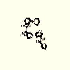 O=C(Nc1cncc(-c2cc3c(-c4nc5c(N6CCCCC6)cccc5[nH]4)n[nH]c3cn2)c1)c1ccccc1